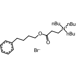 CCCC[N+](CCCC)(CCCC)CCC(=O)OCCCCc1ccccc1.[Br-]